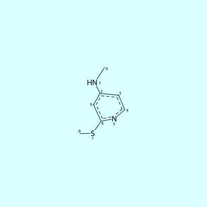 CNc1ccnc(SC)c1